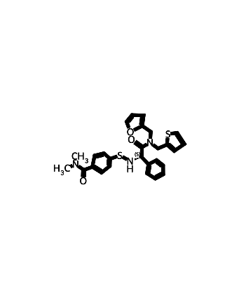 CN(C)C(=O)c1ccc(SN[C@H](C(=O)N(Cc2ccco2)Cc2cccs2)c2ccccc2)cc1